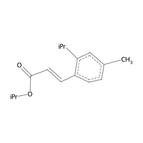 Cc1ccc(C=CC(=O)OC(C)C)c(C(C)C)c1